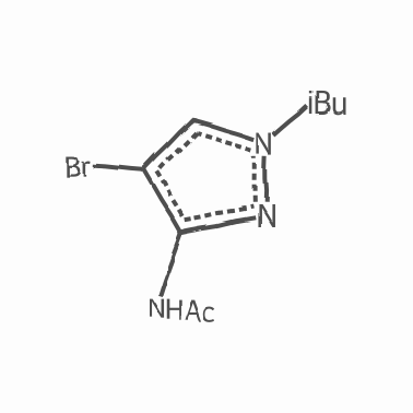 CCC(C)n1cc(Br)c(NC(C)=O)n1